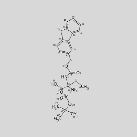 CCC(NC(=O)OCc1ccc2c(c1)-c1ccccc1C2)(NC(=O)OC(C)(C)C)C(=O)O